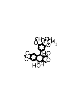 COc1cc(C2c3cc4c(cc3[C@@H](O)[C@H]3COC(=O)[C@@H]23)OCO4)cc(OC)c1OC